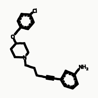 Nc1cccc(C#CCCCN2CCC(Oc3ccc(Cl)cc3)CC2)c1